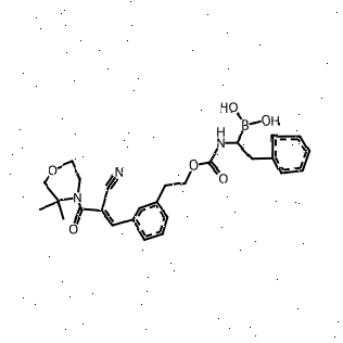 CC1(C)COCCN1C(=O)C(C#N)=Cc1cccc(CCOC(=O)NC(Cc2ccccc2)B(O)O)c1